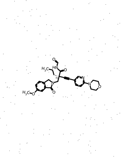 CCC[C@](C#Cc1ccc(N2CCOCC2)nc1)(CN1Cc2ccc(OC)cc2C1=O)C(=O)NC=O